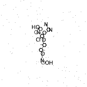 Cc1c(COc2cc(OCc3cncc(C#N)c3)c(CN3CCCC[C@H]3C(=O)O)cc2Cl)cccc1-c1cccc(OCCCN2CCC[C@@H](O)C2)c1C